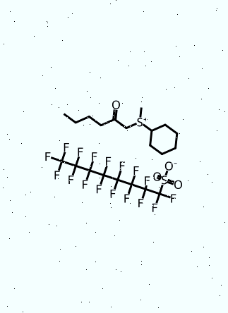 CCCCC(=O)C[S+](C)C1CCCCC1.O=S(=O)([O-])C(F)(F)C(F)(F)C(F)(F)C(F)(F)C(F)(F)C(F)(F)C(F)(F)C(F)(F)F